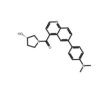 CN(C)c1ccc(-c2ccc3nccc(C(=O)N4CC[C@H](O)C4)c3c2)cc1